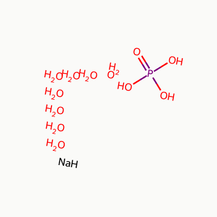 O.O.O.O.O.O.O.O.O=P(O)(O)O.[NaH]